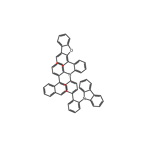 c1ccc(N(c2ccc(-c3ccccc3-n3c4ccccc4c4ccccc43)cc2)c2ccccc2-c2cccc3c2oc2ccccc23)c(-c2cccc3ccccc23)c1